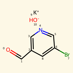 O=Cc1cncc(Br)c1.[K+].[OH-]